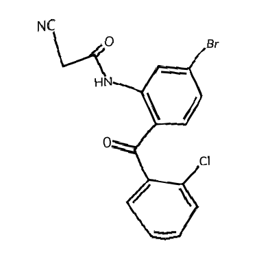 N#CCC(=O)Nc1cc(Br)ccc1C(=O)c1ccccc1Cl